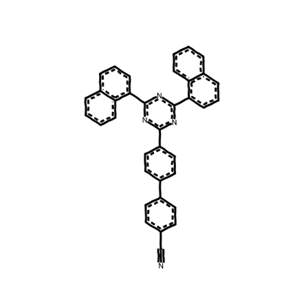 N#Cc1ccc(-c2ccc(-c3nc(-c4cccc5ccccc45)nc(-c4cccc5ccccc45)n3)cc2)cc1